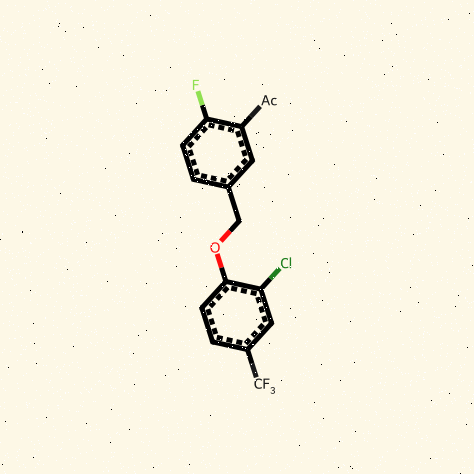 CC(=O)c1cc(COc2ccc(C(F)(F)F)cc2Cl)ccc1F